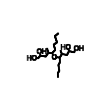 CCCCCC(OC(CCCCC)C(C)CC(O)CO)C(C)CC(O)CO